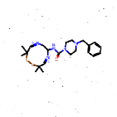 CC1(C)/C=N\CC(NC(=O)N2CCN(Cc3ccccc3)CC2)/N=C\C(C)(C)SS1